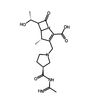 CC(=N)NC(=O)[C@H]1CCN(CC2=C(C(=O)O)N3C(=O)C([C@@H](C)O)C3[C@H]2C)C1